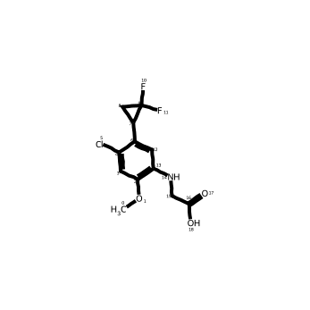 COc1cc(Cl)c(C2CC2(F)F)cc1NCC(=O)O